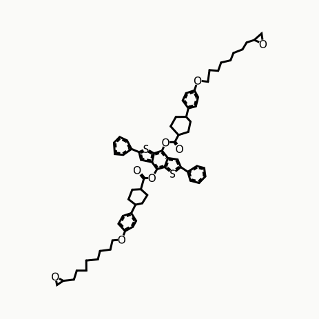 O=C(Oc1c2cc(-c3ccccc3)sc2c(OC(=O)C2CCC(c3ccc(OCCCCCCCCC4CO4)cc3)CC2)c2cc(-c3ccccc3)sc12)C1CCC(c2ccc(OCCCCCCCCC3CO3)cc2)CC1